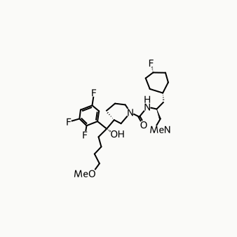 CNC[C@H](C[C@H]1CC[C@@H](F)CC1)NC(=O)N1CCC[C@@H]([C@@](O)(CCCCOC)c2cc(F)cc(F)c2F)C1